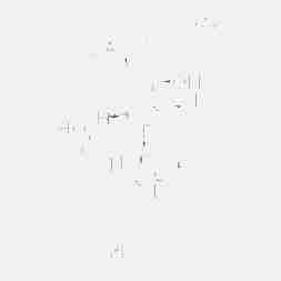 CC(=O)OCC(=O)[C@@]1(O)[C@H](OC(C)=O)C[C@H]2[C@@H]3[C@H](O)CC4=CC(=O)C=C[C@]4(C)[C@@]3(F)C(=O)C[C@@]21C